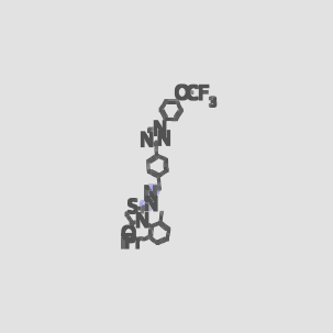 Cc1cccc(C(C)C)c1N1C(=O)CS/C1=N\N=C\c1ccc(-c2ncn(-c3ccc(OC(F)(F)F)cc3)n2)cc1